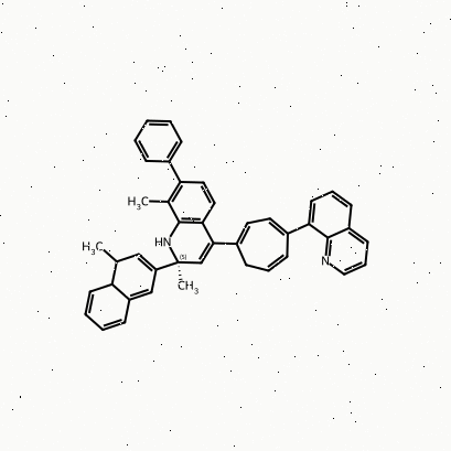 Cc1c(-c2ccccc2)ccc2c1N[C@](C)(C1=CC(C)C3C=CC=CC3=C1)C=C2C1=CC=C(c2cccc3cccnc23)C=CC1